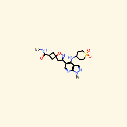 CCNC(=O)C1CC2(CC(c3cnc4c(cnn4CC)c3NC3CCS(=O)(=O)CC3)=NO2)C1